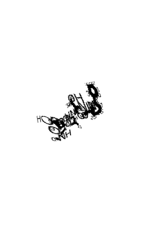 CNC(=O)C[C@]1(CC(=O)O)OB([C@H](CC(C)C)NC(=O)C(NC(=O)c2cccc(-c3ccccc3)n2)[C@@H](C)O)OC1=O